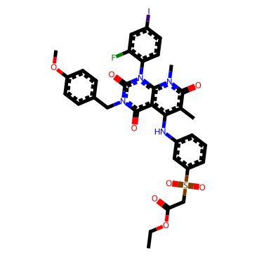 CCOC(=O)CS(=O)(=O)c1cccc(Nc2c(C)c(=O)n(C)c3c2c(=O)n(Cc2ccc(OC)cc2)c(=O)n3-c2ccc(I)cc2F)c1